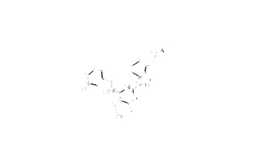 CC(C)C(=O)NCc1cccc2c1cnn2-c1nc2c(c(NCc3cccc(F)c3)n1)CCOC2